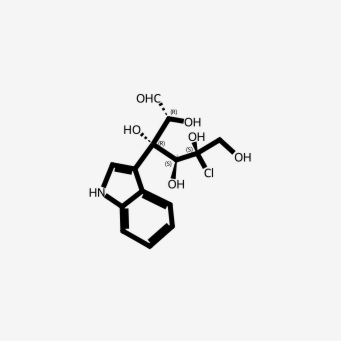 O=C[C@H](O)[C@](O)(c1c[nH]c2ccccc12)[C@H](O)[C@@](O)(Cl)CO